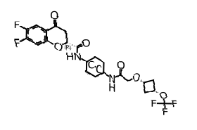 O=C(CO[C@H]1C[C@@H](OC(F)(F)F)C1)NC12CCC(NC(=O)[C@H]3CC(=O)c4cc(F)c(F)cc4O3)(CC1)CC2